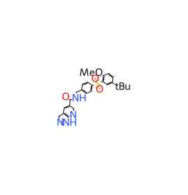 COc1ccc(C(C)(C)C)cc1S(=O)(=O)c1ccc(CNC(=O)c2cnc3[nH]ncc3c2)cc1